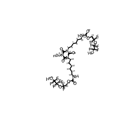 CCCCn1c(=O)n(CCCCCCNC(=O)OCC(F)(F)OC(F)(F)C(O)(F)F)c(=O)n(CCCCCCNC(=O)OCC(F)(F)OC(F)(F)C(O)(F)F)c1=O